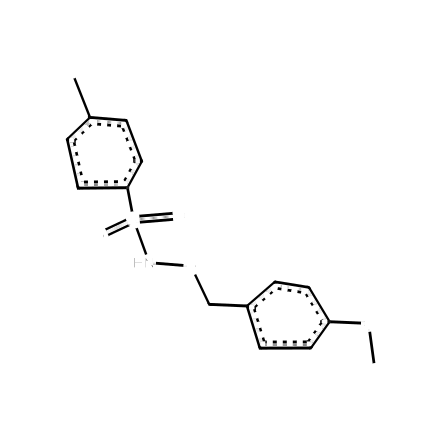 COc1ccc(CONS(=O)(=O)c2ccc(C)cc2)cc1